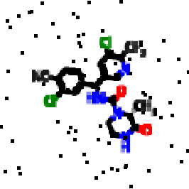 C[C@@H]1C(=O)NCCN1C(=O)N[C@H](c1ccc(C#N)c(Cl)c1)c1cnc(C(F)(F)F)c(Cl)c1